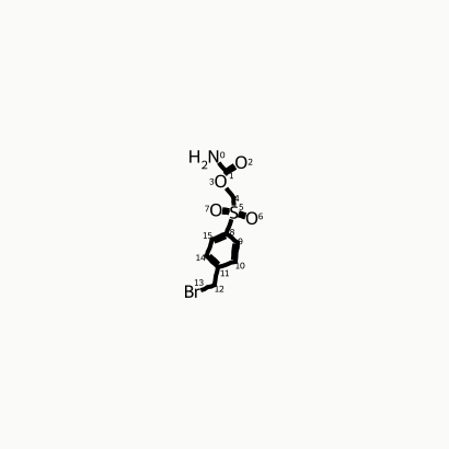 NC(=O)OCS(=O)(=O)c1ccc(CBr)cc1